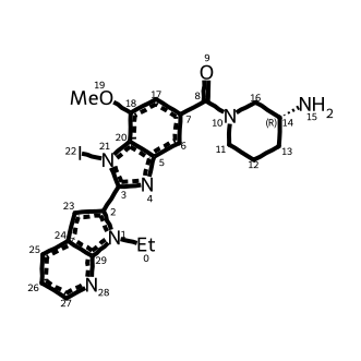 CCn1c(-c2nc3cc(C(=O)N4CCC[C@@H](N)C4)cc(OC)c3n2I)cc2cccnc21